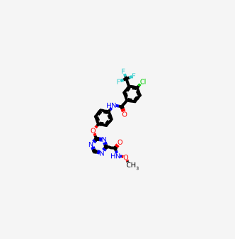 CONC(=O)c1ncnc(Oc2ccc(NC(=O)c3ccc(Cl)c(C(F)(F)F)c3)cc2)n1